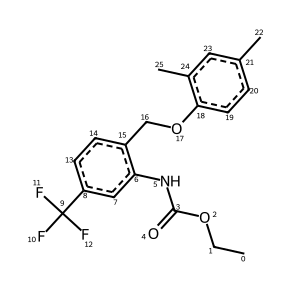 CCOC(=O)Nc1cc(C(F)(F)F)ccc1COc1ccc(C)cc1C